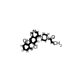 C=CC(=O)N1CCN(c2cnnc3cc(-c4c(O)cccc4F)c(Cl)cc23)CC1